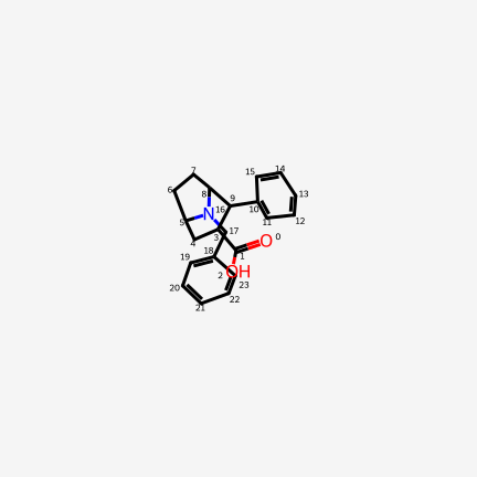 O=C(O)C1CC2CCC(C1c1ccccc1)N2Cc1ccccc1